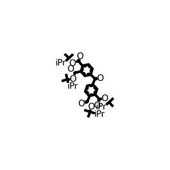 CC(C)C(C)(C)OC(=O)c1ccc(C(=O)c2ccc(C(=O)OC(C)(C)C(C)C)c(C(=O)OC(C)(C)C(C)C)c2)cc1C(=O)OC(C)(C)C(C)C